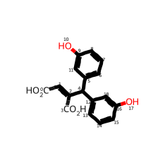 O=C(O)C=C(C(=O)O)C(c1cccc(O)c1)c1cccc(O)c1